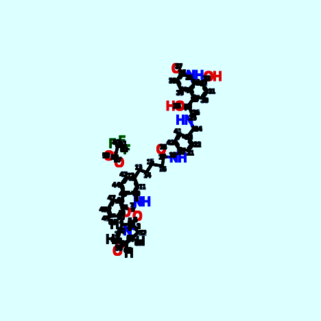 C[N+]1(C)[C@@H]2C[C@@H](OC(=O)Nc3cc(CCCCC(=O)Nc4ccc(CNC[C@H](O)c5ccc(O)c6[nH]c(=O)ccc56)cc4)ccc3-c3ccccc3)C[C@H]1[C@@H]1O[C@@H]12.O=C([O-])C(F)(F)F